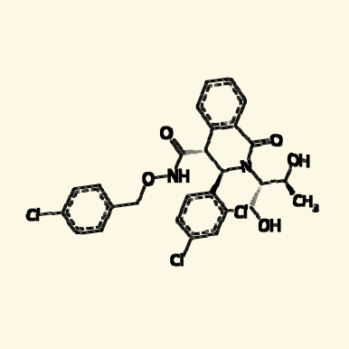 C[C@H](O)[C@H](CO)N1C(=O)c2ccccc2[C@@H](C(=O)NOCc2ccc(Cl)cc2)[C@@H]1c1ccc(Cl)cc1Cl